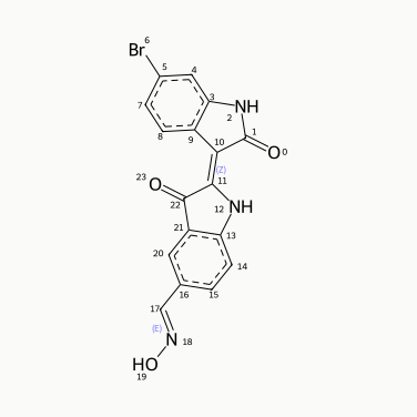 O=C1Nc2cc(Br)ccc2/C1=C1/Nc2ccc(/C=N/O)cc2C1=O